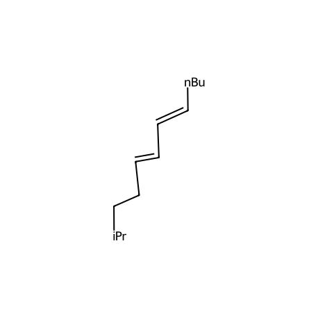 [CH2]CCCC=CC=CCCC(C)C